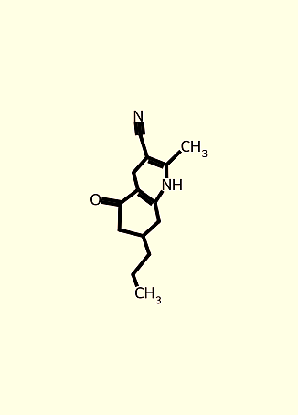 CCCC1CC(=O)C2=C(C1)NC(C)=C(C#N)C2